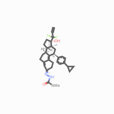 C#CC(F)(F)[C@]1(O)CC[C@H]2[C@@H]3CCC4=C/C(=N/NC(=O)NC)CCC4=C3[C@H](c3ccc(C4CC4)cc3)C[C@@]21C